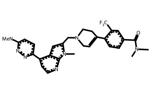 CNc1ccc(-c2ccnc3c2cc(CN2CC=C(c4ccc(C(=O)N(C)C)cc4C(F)(F)F)CC2)n3C)nn1